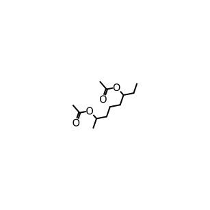 CCC(CCCC(C)OC(C)=O)OC(C)=O